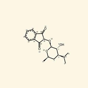 C[C@@H]1C[C@H](N(C)C)[C@@H](O)[C@H](ON2C(=O)c3ccccc3C2=O)O1